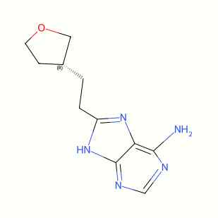 Nc1ncnc2[nH]c(CC[C@@H]3CCOC3)nc12